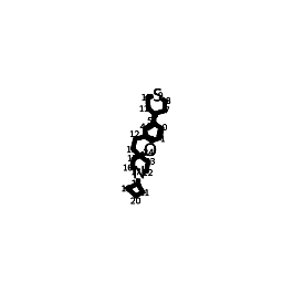 c1cc2c(cc1C1CCSCC1)CCC1(CCN(C3CCC3)CC1)O2